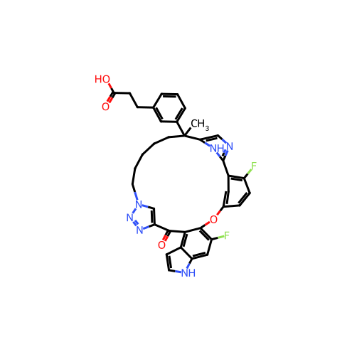 CC1(c2cccc(CCC(=O)O)c2)CCCCCn2cc(nn2)C(=O)c2c(c(F)cc3[nH]ccc23)Oc2ccc(F)c(c2)-c2ncc1[nH]2